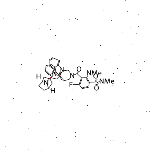 CNc1c(S(=O)(=O)NC)ccc(F)c1C(=O)N1CCC(CCN2[C@@H]3CC[C@H]2C[C@@H](n2c(C)nc4ccccc42)C3)(c2ccccc2)CC1